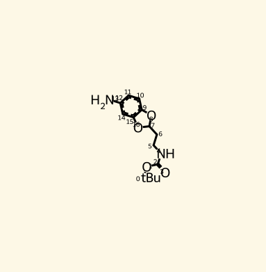 CC(C)(C)OC(=O)NCCC1Oc2ccc(N)cc2O1